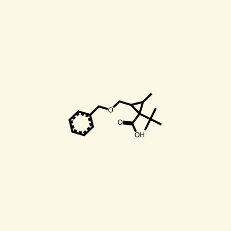 CC1C(COCc2ccccc2)C1(C(=O)O)C(C)(C)C